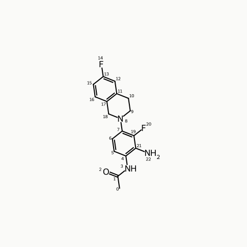 CC(=O)Nc1ccc(N2CCc3cc(F)ccc3C2)c(F)c1N